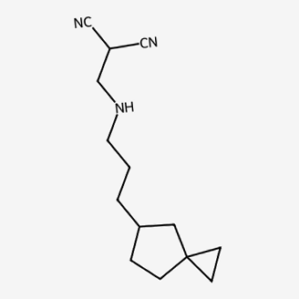 N#CC(C#N)CNCCCC1CCC2(CC2)C1